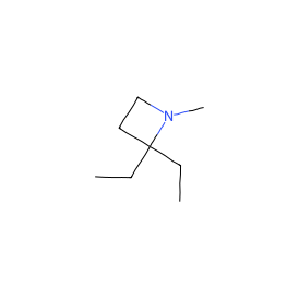 CCC1(CC)CCN1C